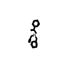 C#CCN(CC(=C)c1ccccc1)Cc1ccccc1